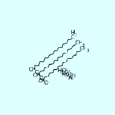 CCCCCCCCCCCCCCCCCC(=O)[O-].CCCCCCCCCCCCCCCCCC(=O)[O-].CCCCCCCCCCCCCCCCCC(=O)[O-].[Al+3].[Al+3].[OH-].[OH-].[OH-]